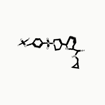 N=C(NCC1CC1)C1C=CC=C(C2=CCN(S(=O)(=O)c3ccc(OC(F)(F)F)cc3)CC2)N1